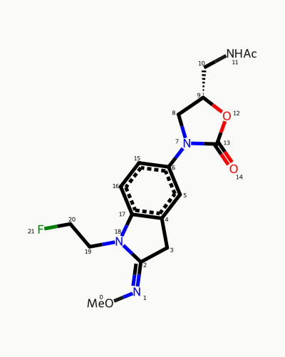 CON=C1Cc2cc(N3C[C@H](CNC(C)=O)OC3=O)ccc2N1CCF